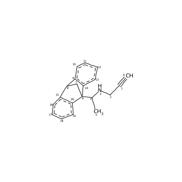 C#CCNC(C)C12CC(c3ccccc31)c1ccccc12